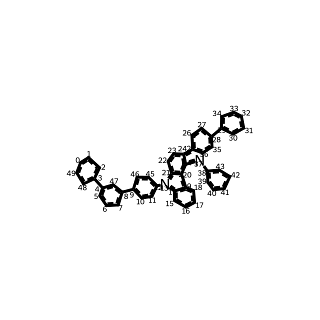 c1ccc(-c2cccc(-c3ccc(-n4c5ccccc5c5c4ccc4c6ccc(-c7ccccc7)cc6n(-c6ccccc6)c45)cc3)c2)cc1